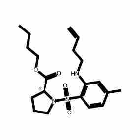 C=CCCNc1cc(C)ccc1S(=O)(=O)N1CCC[C@H]1C(=O)OCCCC